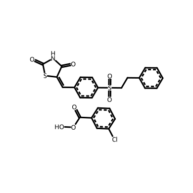 O=C(OO)c1cccc(Cl)c1.O=C1NC(=O)/C(=C\c2ccc(S(=O)(=O)CCc3ccccc3)cc2)S1